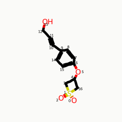 O=S1(=O)CC(Oc2ccc(C#CCO)cc2)C1